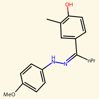 CCCC(=NNc1ccc(OC)cc1)c1ccc(O)c(C)c1